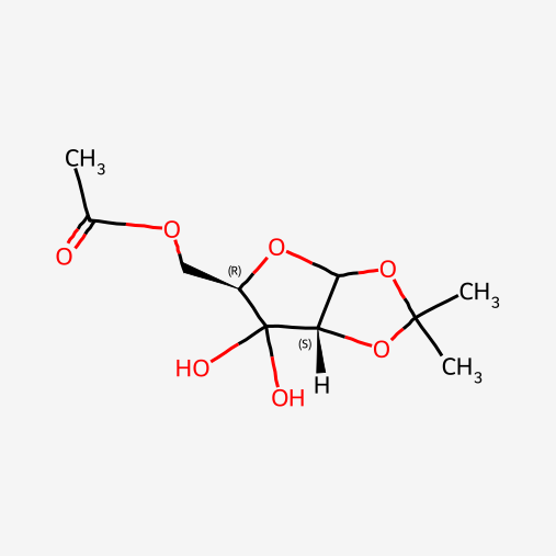 CC(=O)OC[C@H]1OC2OC(C)(C)O[C@@H]2C1(O)O